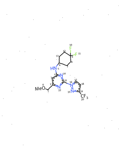 COCc1cc(NC2CCC(F)(F)CC2)nc(-n2ccc(C(F)(F)F)n2)n1